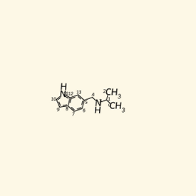 CC(C)NCc1ccc2cc[nH]c2c1